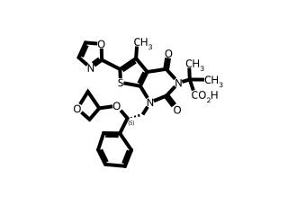 Cc1c(-c2ncco2)sc2c1c(=O)n(C(C)(C)C(=O)O)c(=O)n2C[C@@H](OC1COC1)c1ccccc1